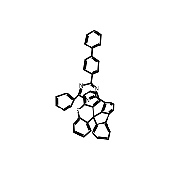 c1ccc(-c2ccc(-c3nc(-c4ccccc4)nc(-c4cccc5c4C4(c6ccccc6Sc6ccccc64)c4ccccc4-5)n3)cc2)cc1